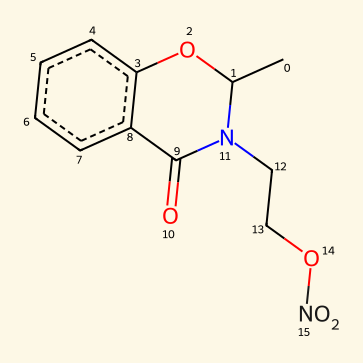 CC1Oc2ccccc2C(=O)N1CCO[N+](=O)[O-]